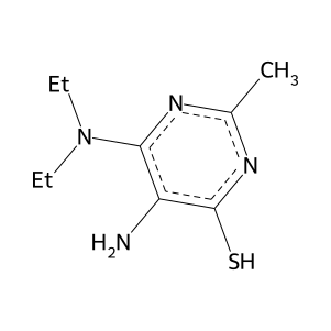 CCN(CC)c1nc(C)nc(S)c1N